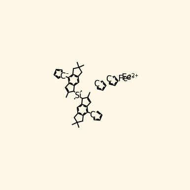 CC1=Cc2c(cc3c(c2-[c-]2cccc2)CC(C)(C)C3)C1[Si](C)(C)C1C(C)=Cc2c1cc1c(c2-[c-]2cccc2)CC(C)(C)C1.[Fe+2].[Fe+2].c1cc[cH-]c1.c1cc[cH-]c1